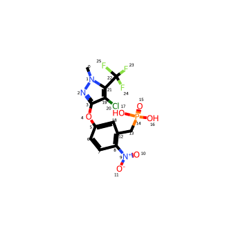 Cn1nc(Oc2ccc([N+](=O)[O-])c(CP(=O)(O)O)c2)c(Cl)c1C(F)(F)F